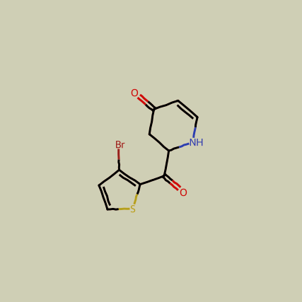 O=C1C=CNC(C(=O)c2sccc2Br)C1